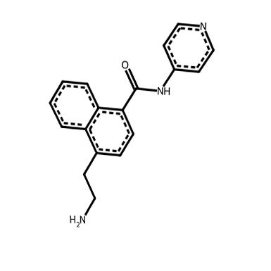 NCCc1ccc(C(=O)Nc2ccncc2)c2ccccc12